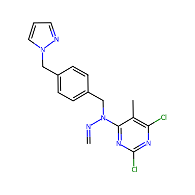 C=NN(Cc1ccc(Cn2cccn2)cc1)c1nc(Cl)nc(Cl)c1C